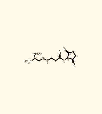 CC(=O)N[C@@H](CSSCCC(=O)ON1C(=O)CCC1=O)C(=O)O